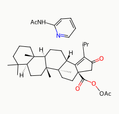 CC(=O)Nc1ccccn1.CC(=O)OOC(=O)[C@@]12CC[C@]3(C)[C@H](CC[C@@H]4[C@@]5(C)CCCC(C)(C)[C@@H]5CC[C@]43C)C1=C(C(C)C)C(=O)C2